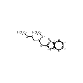 O=C(O)OCCC(OC(=O)O)Sc1nc2ccccc2o1